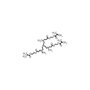 C=C(C)C(=O)OCCOC(=O)CCN(C)CCN(CCN(C)CCC(=O)OCCOC(=O)C(=C)C)CCN(C)CCC(=O)OCCOC(=O)C(=C)C